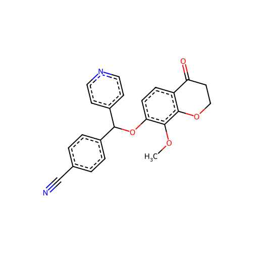 COc1c(OC(c2ccncc2)c2ccc(C#N)cc2)ccc2c1OCCC2=O